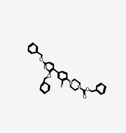 O=C(OCc1ccccc1)N1CCN(c2ccc(-c3ccc(OCc4ccccc4)nc3OCc3ccccc3)cc2F)CC1